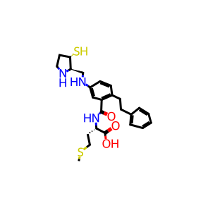 CSCC[C@H](NC(=O)c1cc(NC[C@H]2NCC[C@@H]2S)ccc1CCc1ccccc1)C(=O)O